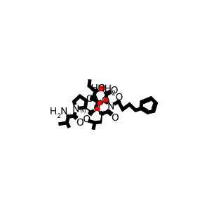 CCC(N)C(=O)C(=O)N(C(=O)[C@@H]1CCCN1C(=O)[C@@H](N)C(C)C)[C@H](CC(C)C)C(=O)N(C(=O)CCCc1ccccc1)[C@H](C(=O)O)C(C)C